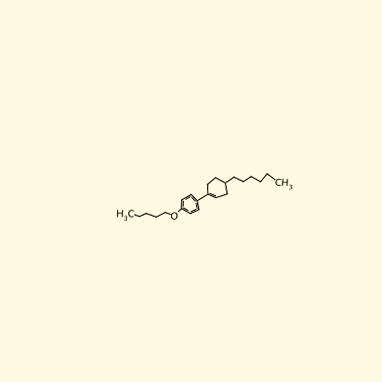 CCCCCCC1CC=C(c2ccc(OCCCCC)cc2)CC1